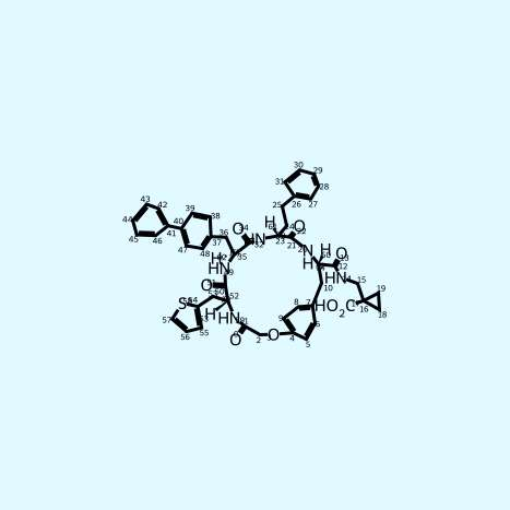 O=C1COc2ccc(cc2)C[C@@H](C(=O)NCC2(C(=O)O)CC2)NC(=O)[C@@H](CCc2ccccc2)NC(=O)[C@H](Cc2ccc(-c3ccccc3)cc2)NC(=O)[C@@H](Cc2cccs2)N1